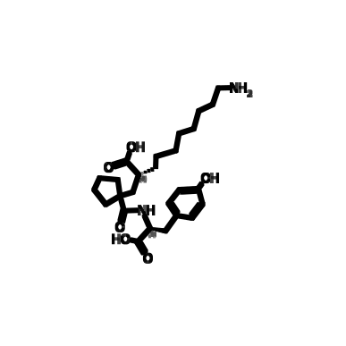 NCCCCCCCC[C@H](CC1(C(=O)N[C@@H](Cc2ccc(O)cc2)C(=O)O)CCCC1)C(=O)O